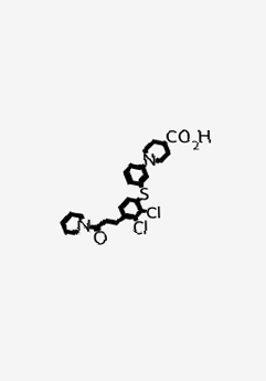 O=C(O)C1CCN(c2cccc(Sc3ccc(C=CC(=O)N4CC=CCC4)c(Cl)c3Cl)c2)CC1